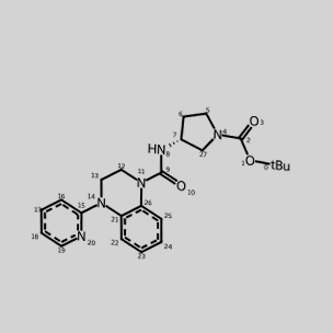 CC(C)(C)OC(=O)N1CC[C@@H](NC(=O)N2CCN(c3ccccn3)c3ccccc32)C1